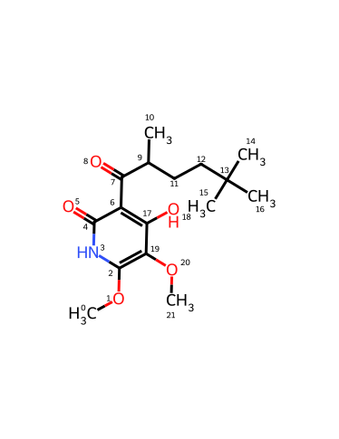 COc1[nH]c(=O)c(C(=O)C(C)CCC(C)(C)C)c(O)c1OC